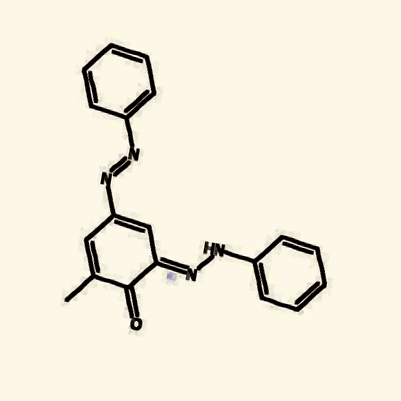 CC1=CC(N=Nc2ccccc2)=C/C(=N\Nc2ccccc2)C1=O